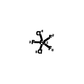 [F][Fe]([F])([F])([Cl])[Cl]